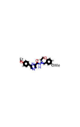 CCOc1ccc(-c2cncc(C(=O)NN3CCOc4ccc(OC)cc4C3)n2)cc1